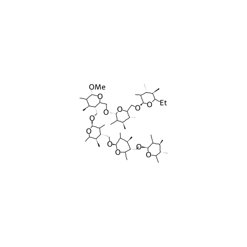 CCC1O[C@@H](OCC2O[C@@H](OCC3O[C@@H](OC)C(C)[C@H](C)[C@H]3CO[C@@H]3OC(C)[C@H](C)[C@@H](CO[C@@H]4OC(C)[C@@H](CO[C@@H]5OC(C)[C@@H](C)[C@H](C)C5C)[C@H](C)C4C)C3C)C(C)[C@H](C)[C@H]2C)C(C)[C@H](C)[C@H]1C